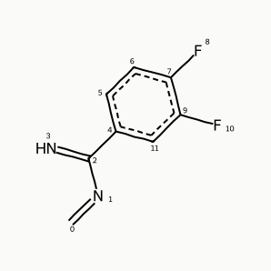 C=NC(=N)c1ccc(F)c(F)c1